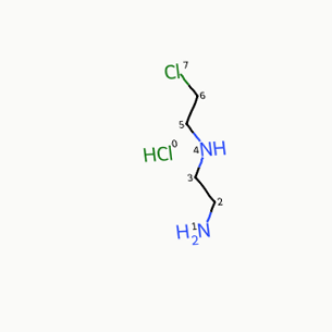 Cl.NCCNCCCl